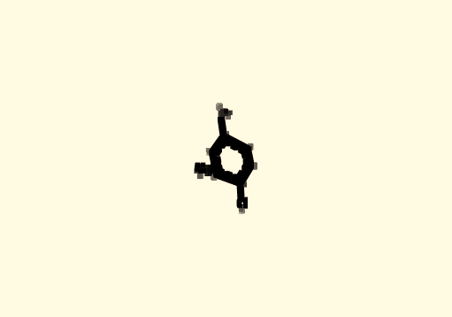 CC(C)c1ccc(Cl)cc1.[MgH2]